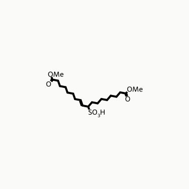 COC(=O)CCCCCC/C=C/C(CCCCCCCC(=O)OC)S(=O)(=O)O